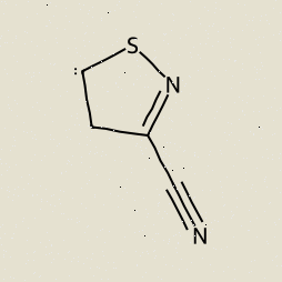 N#CC1=NS[C]C1